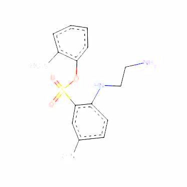 NCCNc1ccc([N+](=O)[O-])cc1S(=O)(=O)Oc1ccccc1S(=O)(=O)O